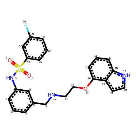 O=S(=O)(Nc1cccc(CNCCOc2cccc3[nH]ccc23)c1)c1cccc(F)c1